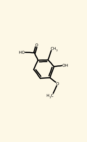 COc1ccc(C(=O)O)c(C)c1O